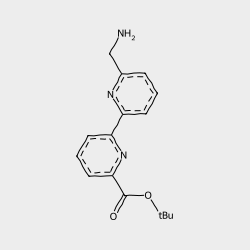 CC(C)(C)OC(=O)c1cccc(-c2cccc(CN)n2)n1